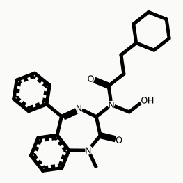 CN1C(=O)C(N(CO)C(=O)CCC2CCCCC2)N=C(c2ccccc2)c2ccccc21